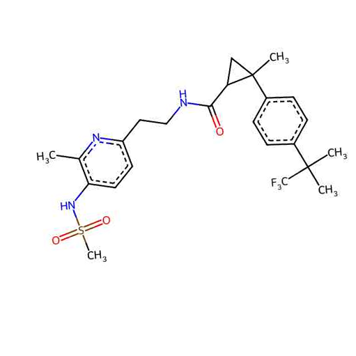 Cc1nc(CCNC(=O)C2CC2(C)c2ccc(C(C)(C)C(F)(F)F)cc2)ccc1NS(C)(=O)=O